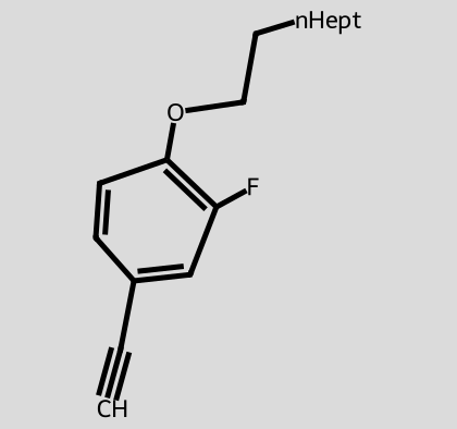 C#Cc1ccc(OCCCCCCCCC)c(F)c1